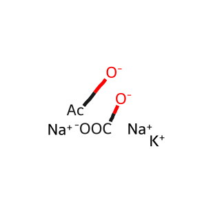 CC(=O)[O-].O=C([O-])[O-].[K+].[Na+].[Na+]